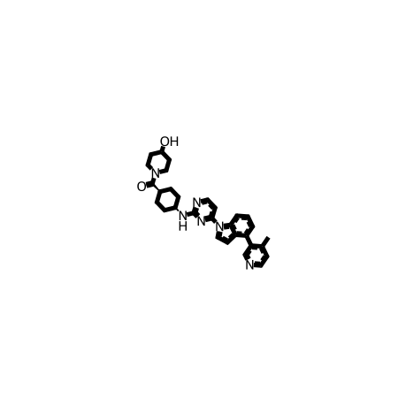 Cc1ccncc1-c1cccc2c1ccn2-c1ccnc(N[C@H]2CC[C@H](C(=O)N3CCC(O)CC3)CC2)n1